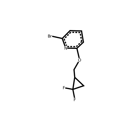 FC1(F)CC1COc1cccc(Br)n1